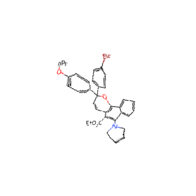 CCCOc1ccc(C2(c3ccc(Br)cc3)C=Cc3c(C(=O)OCC)c(N4CCCC4)c4ccccc4c3O2)cc1